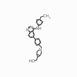 CCc1ccc(Nc2ncnc3ccc(-c4ccc(CN5CC6C(CO)C6C5)cc4)cc23)cc1